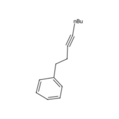 CCCCC#CCCc1ccccc1